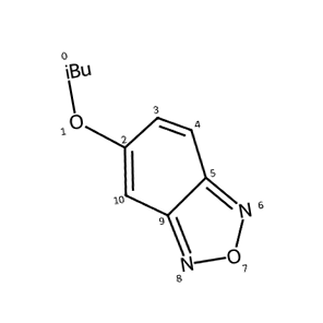 CCC(C)Oc1ccc2nonc2c1